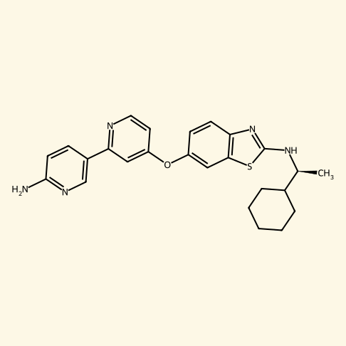 C[C@H](Nc1nc2ccc(Oc3ccnc(-c4ccc(N)nc4)c3)cc2s1)C1CCCCC1